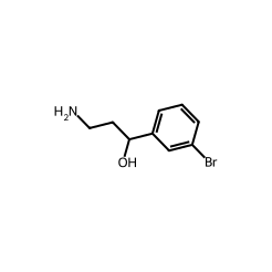 NCCC(O)c1cccc(Br)c1